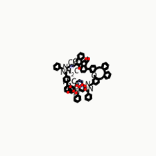 C=CC1=C(/C=C(\C)c2nc(-c3ccccc3)nc(-c3ccc(-c4cccc(C#N)c4)cc3)n2)Oc2ccccc2C12c1ccccc1-c1c(-c3ccc4c(c3)Oc3cc(-c5nc(C(/C=C\C(=C)N6c7ccccc7N(c7ccccc7)c7ccccc76)=C/C)nc(-c6ccccc6)n5)ccc3Cc3ccccc3-c3ccccc3C4)cccc12